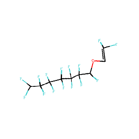 FC(F)=COC(F)C(F)(F)C(F)(F)C(F)(F)C(F)(F)C(F)(F)C(F)F